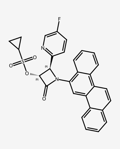 O=C1[C@H](OS(=O)(=O)C2CC2)[C@@H](c2ccc(F)cn2)N1c1cc2c3ccccc3ccc2c2ccccc12